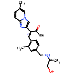 CCC(C)C(=O)/C(=C\c1ccc(CNC(C)CO)cc1C)c1cn2cc(C)ccc2n1